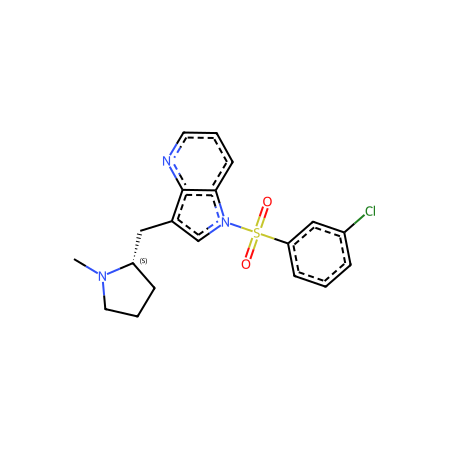 CN1CCC[C@H]1Cc1cn(S(=O)(=O)c2cccc(Cl)c2)c2cccnc12